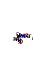 CC[C@@H](CNc1ccc(OC(F)(F)F)cc1)NC(=O)[C@H](CCC1CCCC1)CC(=O)N1CCOCC1